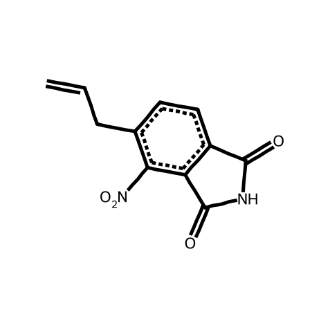 C=CCc1ccc2c(c1[N+](=O)[O-])C(=O)NC2=O